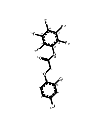 O=C(COc1ccc(Cl)cc1Cl)Oc1c(F)c(F)c(F)c(F)c1F